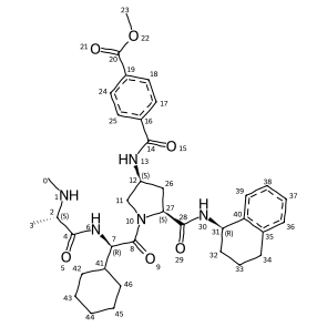 CN[C@@H](C)C(=O)N[C@@H](C(=O)N1C[C@@H](NC(=O)c2ccc(C(=O)OC)cc2)C[C@H]1C(=O)N[C@@H]1CCCc2ccccc21)C1CCCCC1